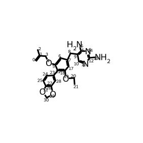 C=C(C)COc1cc(Cc2cnc(N)nc2N)cc(OCC)c1-c1ccc2c(c1)OCO2